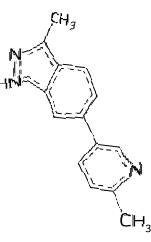 Cc1ccc(-c2ccc3c(C)n[nH]c3c2)cn1